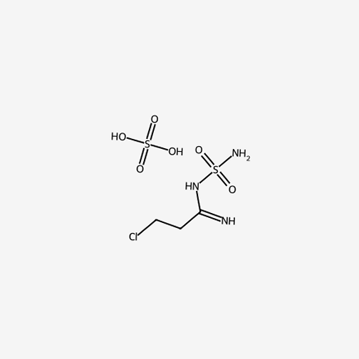 N=C(CCCl)NS(N)(=O)=O.O=S(=O)(O)O